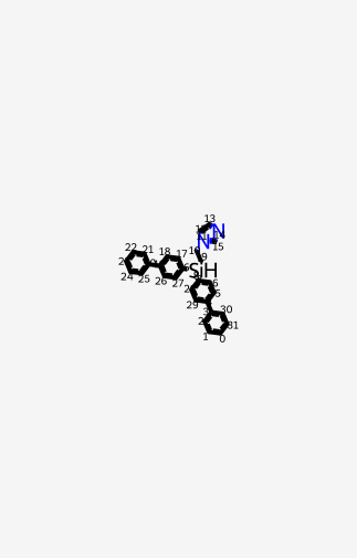 c1ccc(-c2ccc([SiH](CCn3ccnc3)c3ccc(-c4ccccc4)cc3)cc2)cc1